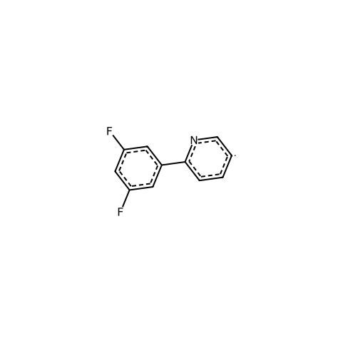 Fc1cc(F)cc(-c2cc[c]cn2)c1